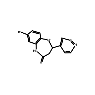 O=C1CC(c2ccnnc2)Nc2ccc(Br)cc2N1